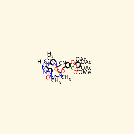 COC(=O)[C@H]1O[C@@H](Oc2ccc(COC(=S)N(C)CCN(C)C(=O)n3ccc4c(N(C)[C@H]5CN(C(=O)CC#N)CC[C@H]5C)ncnc43)cc2Cl)[C@H](OC(C)=O)[C@@H](OC(C)=O)[C@@H]1OC(C)=O